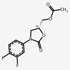 CC(=O)OC[C@H]1CN(c2ccc(I)c(F)c2)C(=O)O1